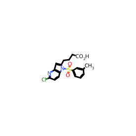 Cc1cccc(S(=O)(=O)n2c(CCCC(=O)O)cc3nc(Cl)ccc32)c1